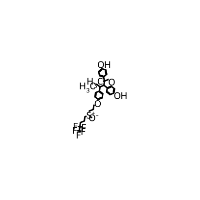 CCC(c1ccc(OCCC[S+]([O-])CCCC(F)(F)C(F)(F)F)cc1)C1c2ccc(O)cc2OCC1(C)c1ccc(O)cc1